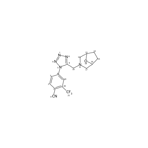 N#Cc1ccc(-n2nnnc2CN2CC3CCC(C2)O3)cc1C(F)(F)F